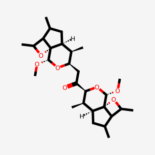 CO[C@H]1O[C@H](C(=O)C[C@H]2O[C@H](OC)[C@@]34OC(C)C3C(C)C[C@H]4[C@H]2C)[C@H](C)[C@@H]2CC(C)C3C(C)O[C@@]312